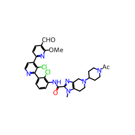 COc1nc(-c2ccnc(-c3cccc(NC(=O)c4nc5c(n4C)CCN(C4CCN(C(C)=O)CC4)C5)c3Cl)c2Cl)ccc1C=O